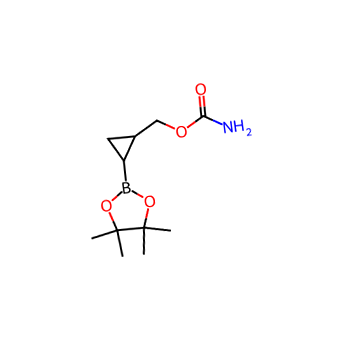 CC1(C)OB(C2CC2COC(N)=O)OC1(C)C